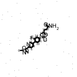 Cc1nnc(-c2ccc(-c3ccc(N4CC(CCC(N)=O)OC4=O)cc3F)cn2)o1